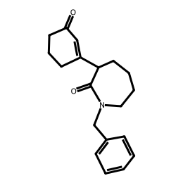 O=C1C=C(C2CCCCN(Cc3ccccc3)C2=O)CCC1